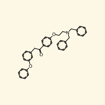 O=C([CH]c1cccc(Oc2ccccc2)c1)c1ccc(OCCN(Cc2ccccc2)Cc2ccccc2)cc1